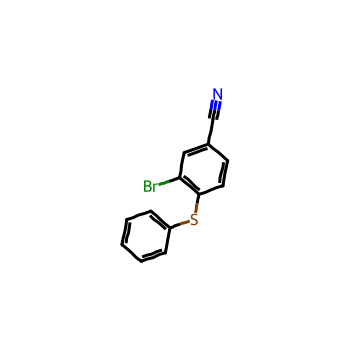 N#Cc1ccc(Sc2ccccc2)c(Br)c1